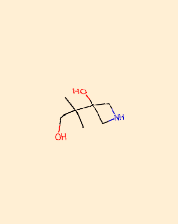 CC(C)(CO)C1(O)CNC1